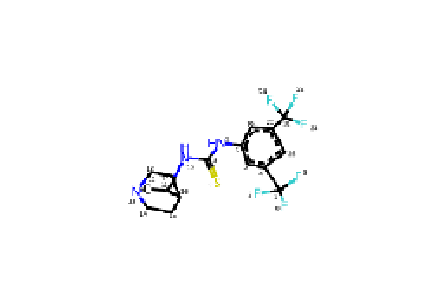 FC(F)(F)c1cc(NC(=S)NC2CN3CCC2CC3)cc(C(F)(F)F)c1